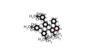 CC(C)(C)c1ccc(N2c3ccc(C(C)(C)C)cc3B3c4cc(C(C)(C)C)ccc4N(c4ccccc4-c4ccccc4)c4cc(-c5cccc(C(C)(C)C)c5)cc2c43)cc1